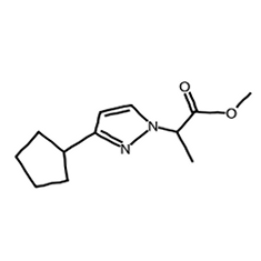 COC(=O)C(C)n1ccc(C2CCCC2)n1